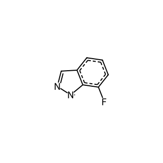 Fc1cccc2c1[N]N=C2